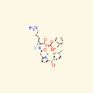 Cc1ccc(C(=O)c2ccc(CC(=O)N[C@@H](CCCCN)C(=O)OC(=O)OCc3ccccc3)n2C)cc1